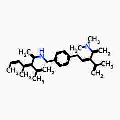 C=C(C)/C(=C/Cc1ccc(CNC(=C)/C(C(=C)C)=C(C)\C=C/C)cc1)C(=C)N(C)C